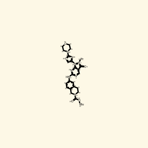 CC(C)n1c(=O)c2cnc(Nc3ccc4c(c3)CCN(C(=O)OC(C)(C)C)C4)nc2n1-c1csc(N2CCOCC2)n1